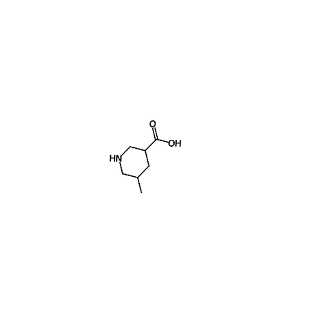 CC1CNCC(C(=O)O)C1